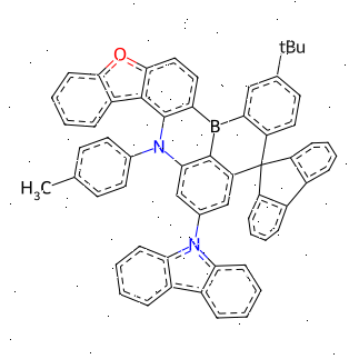 Cc1ccc(N2c3cc(-n4c5ccccc5c5ccccc54)cc4c3B(c3cc(C(C)(C)C)ccc3C43c4ccccc4-c4ccccc43)c3ccc4oc5ccccc5c4c32)cc1